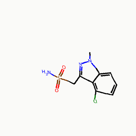 Cn1nc(CS(N)(=O)=O)c2c(Cl)cccc21